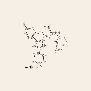 COc1cccc(Nc2cc(-c3[nH]c(C4OCC(C)(CNC(C)=O)CO4)nc3-c3ccc(F)cc3)ccn2)c1